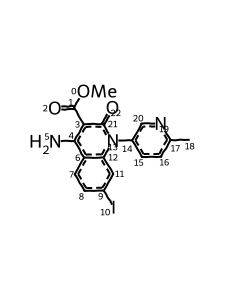 COC(=O)c1c(N)c2ccc(I)cc2n(-c2ccc(C)nc2)c1=O